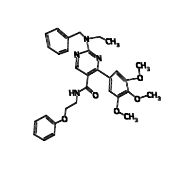 CCN(Cc1ccccc1)c1ncc(C(=O)NCCOc2ccccc2)c(-c2cc(OC)c(OC)c(OC)c2)n1